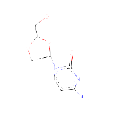 Nc1ccn(C2COC(C[O])O2)c(=O)n1